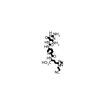 N#CCCn1nnnc1CCC(NC(=O)c1ccc(NC(=O)Nc2c(N)nc(N)[nH]c2=O)cn1)C(=O)O